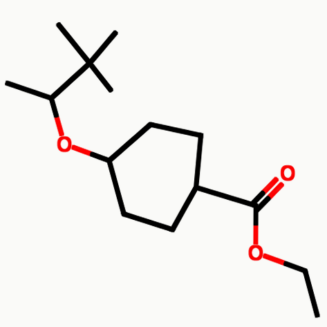 CCOC(=O)C1CCC(OC(C)C(C)(C)C)CC1